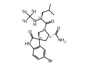 [2H]C([2H])([2H])N[C@@H](CC(C)C)C(=O)N1C[C@]2(C[C@H]1C(N)=O)C(=O)Nc1ccc(Br)cc12